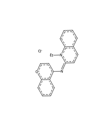 CCn1c(=Nc2cc[o+]c3ccccc23)ccc2ccccc21.[Cl-]